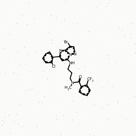 CN(CCCNc1cc(-c2ccccc2Cl)nc2c(Br)cnn12)C(=O)c1ccccc1C(F)(F)F